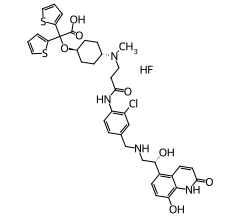 CN(CCC(=O)Nc1ccc(CNC[C@H](O)c2ccc(O)c3[nH]c(=O)ccc23)cc1Cl)[C@H]1CC[C@H](OC(C(=O)O)(c2cccs2)c2cccs2)CC1.F